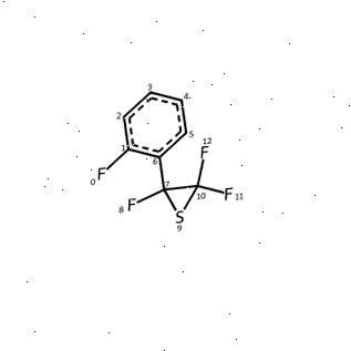 Fc1ccccc1C1(F)SC1(F)F